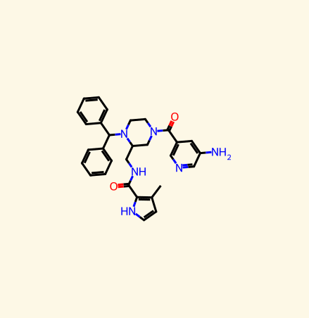 Cc1cc[nH]c1C(=O)NCC1CN(C(=O)c2cncc(N)c2)CCN1C(c1ccccc1)c1ccccc1